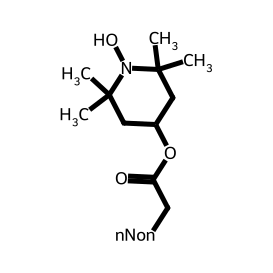 CCCCCCCCCCC(=O)OC1CC(C)(C)N(O)C(C)(C)C1